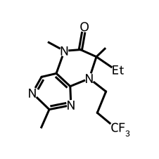 CCC1(C)C(=O)N(C)c2cnc(C)nc2N1CCC(F)(F)F